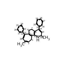 CC1=CCC2=C(CCC3=C2NC(C)C=C3c2ccccc2)C(c2ccccc2)=C1